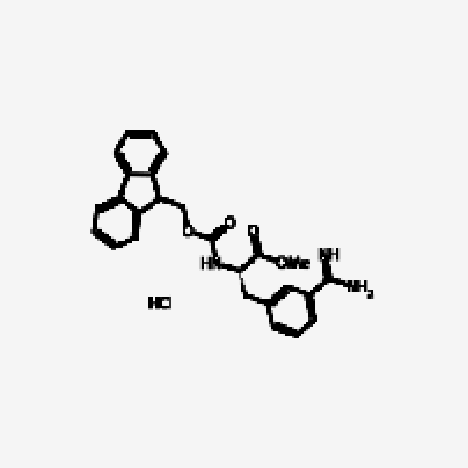 COC(=O)[C@H](Cc1cccc(C(=N)N)c1)NC(=O)OCC1c2ccccc2-c2ccccc21.Cl